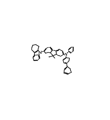 CC1(C)C2CC(N(C3=CC=C(C4=CC=CCC4)CC3)c3ccccc3)=CC=C2C2=CC=C(n3c4c(c5ccccc53)CCCC4)CC21